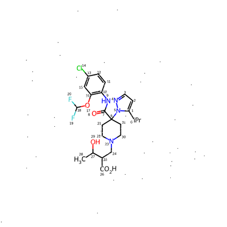 CC(C)c1ccnn1C1(C(=O)Nc2ccc(Cl)cc2OC(F)F)CCN(CC(C(=O)O)C(C)O)CC1